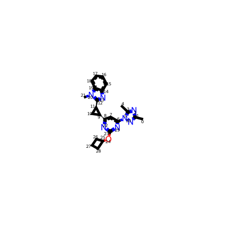 Cc1nc(C)n(-c2cc([C@@H]3C[C@H]3c3nc4ccccc4n3C)nc(OC3CCC3)n2)n1